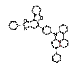 c1ccc(-c2ccc(N(c3ccc(-c4cc5nc(-c6ccccc6)oc5c5c4oc4ccccc45)cc3)c3ccccc3-c3ccccc3)cc2)cc1